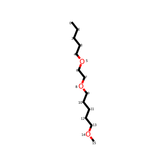 CCCCCOCCOCCCCCOC